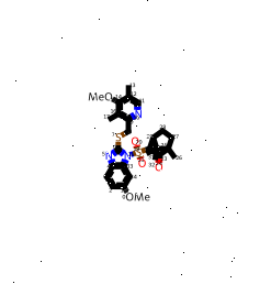 COc1ccc2nc(SCc3ncc(C)c(OC)c3C)n(S(=O)(=O)C3C(=O)C4(C)CCC3C4(C)C)c2c1